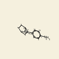 Nc1ccc([C@H]2CC3CCC2N3)cc1